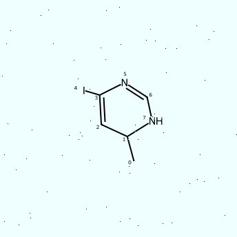 CC1C=C(I)N=CN1